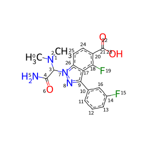 CN(C)C(C(N)=O)n1nc(-c2cccc(F)c2)c2c(F)c(C(=O)O)ccc21